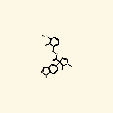 COc1cccc(CNC(=O)C2(c3ccc4[nH]ncc4c3)C=CN(C)C2C)c1C